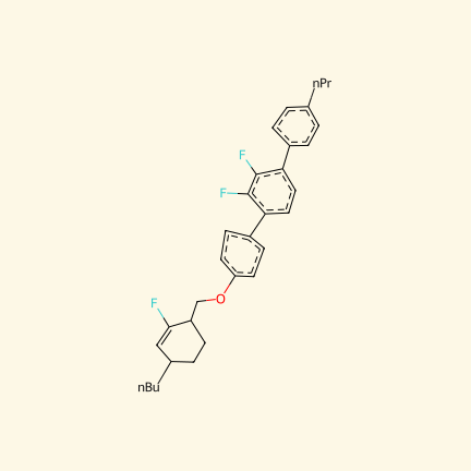 CCCCC1C=C(F)C(COc2ccc(-c3ccc(-c4ccc(CCC)cc4)c(F)c3F)cc2)CC1